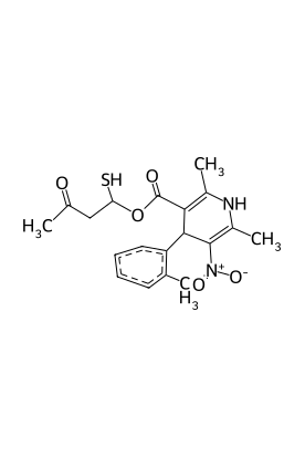 CC(=O)CC(S)OC(=O)C1=C(C)NC(C)=C([N+](=O)[O-])C1c1ccccc1C